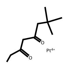 CCC(=O)CC(=O)CC(C)(C)C.[Pt+4]